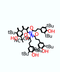 C=C(C(=C)C1C=C(C(C)(C#N)C#N)C(O)=C(C(C)(C)C)C1=C)C(=O)N(C(=O)CCc1cc(C(C)(C)C)c(O)c(C(C)(C)C)c1)N(C(=O)CCc1cc(C(C)(C)C)c(O)c(C(C)(C)C)c1)C(=O)CCc1cc(C(C)(C)C)c(O)c(C(C)(C)C)c1